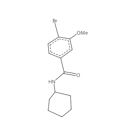 COc1cc(C(=O)NC2CCCCC2)ccc1Br